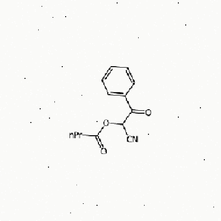 CCCC(=O)OC(C#N)C(=O)c1ccccc1